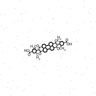 Cc1cc(C(=O)O)cc(C)c1N1C(=O)c2ccc3c4ccc5c6c(ccc(c7ccc(c2c37)C1=O)c64)C(=O)N(c1c(C)cc(C(=O)O)cc1C)C5=O